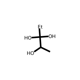 CCC(O)(O)C(C)O